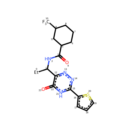 CCC(NC(=O)C1CCCC(C(F)(F)F)C1)c1nnc(-c2cccs2)[nH]c1=O